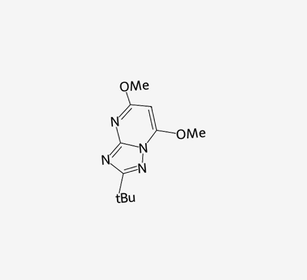 COc1cc(OC)n2nc(C(C)(C)C)nc2n1